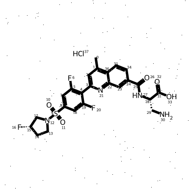 Cc1cc(-c2c(F)cc(S(=O)(=O)N3CC[C@H](F)C3)cc2F)nc2cc(C(=O)N[C@@H](CN)C(=O)O)ccc12.Cl